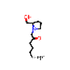 CCCCCCCCCCC(=O)CN1CCCC1CO